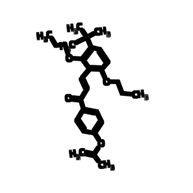 C=C(C)Oc1ccc(C(=O)C=Cc2c(OCCC)ccc(C(C)(C)C)c2OCCC)cc1